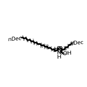 CCCCCCCCCCCCCCCCCCCCCCCCCCCCCCC(=O)NC(CO)C(O)CCCCCCCCCCCCCCC